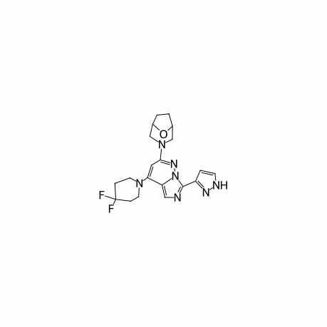 FC1(F)CCN(c2cc(N3CC4CCC(C3)O4)nn3c(-c4cc[nH]n4)ncc23)CC1